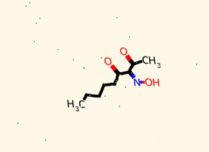 CCCCCC(=O)C(=NO)C(C)=O